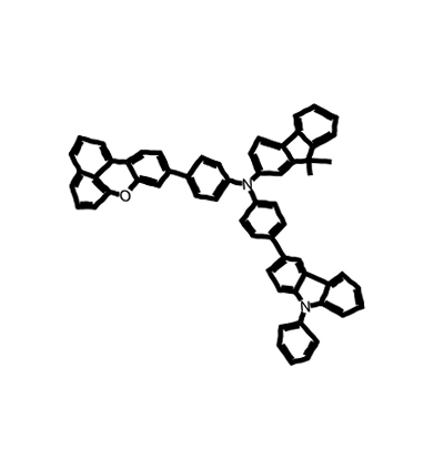 CC1(C)c2ccccc2-c2ccc(N(c3ccc(-c4ccc5c(c4)Oc4cccc6cccc-5c46)cc3)c3ccc(-c4ccc5c(c4)c4ccccc4n5-c4ccccc4)cc3)cc21